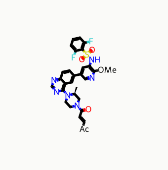 COc1ncc(-c2ccc3ncnc(N4CCN(C(=O)/C=C/C(C)=O)C[C@@H]4C)c3c2)cc1NS(=O)(=O)c1c(F)cccc1F